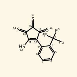 FC(F)(F)c1ccccc1-c1c(S)c(=S)c(=S)c1=S